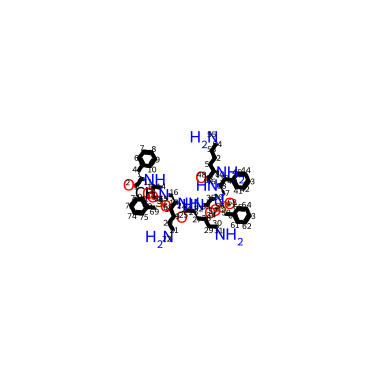 CC(=O)[C@H](Cc1ccccc1)NC(=O)CN(C[C@H](CCCCN)NC(=O)[C@H](CCCCN)NC(=O)CN(C[C@H](Cc1ccccc1)NC(=O)[C@@H](N)CCCCN)S(=O)(=O)Cc1ccccc1)S(=O)(=O)Cc1ccccc1